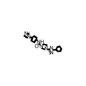 O=C(Nc1ccc(-n2ccnc2)cc1)N1CCN(c2nc(-c3ccccc3)ns2)CC1